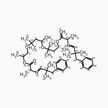 C=C(O[C@H](C)CC(C)(C)OC(C)CC(C)(C)OCC(C)OC(=O)[C@@H](C)/N=C/C(C)(C)Cc1ccccc1)C(C)/N=C/C(C)(C)Cc1ccccc1